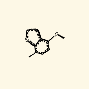 COc1ccc(C)c2sccc12